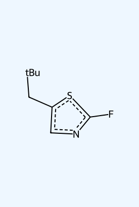 CC(C)(C)Cc1cnc(F)s1